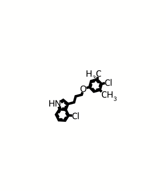 Cc1cc(OCCCc2c[nH]c3cccc(Cl)c23)cc(C)c1Cl